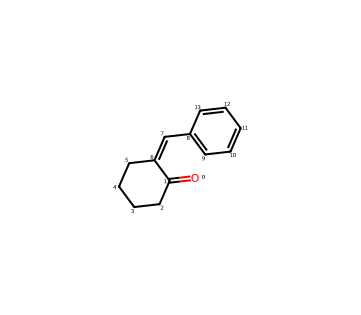 O=C1CCCCC1=Cc1ccccc1